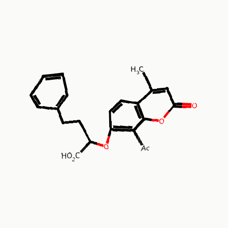 CC(=O)c1c(OC(CCc2ccccc2)C(=O)O)ccc2c(C)cc(=O)oc12